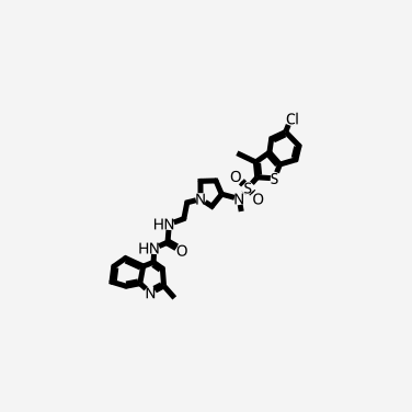 Cc1cc(NC(=O)NCCN2CCC(N(C)S(=O)(=O)c3sc4ccc(Cl)cc4c3C)C2)c2ccccc2n1